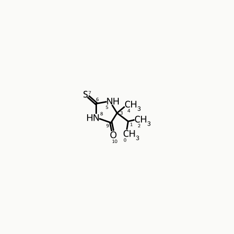 CC(C)C1(C)NC(=S)NC1=O